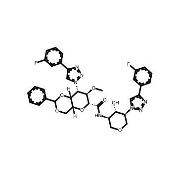 CO[C@@H]1[C@@H](n2cc(-c3cccc(F)c3)nn2)[C@H]2OC(c3ccccc3)OC[C@H]2O[C@H]1C(=O)N[C@@H]1COC[C@H](n2cc(-c3cccc(F)c3)nn2)[C@H]1O